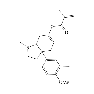 C=C(C)C(=O)OC1=CCC2(c3ccc(OC)c(C)c3)CCN(C)C2C1